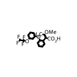 COC(C)=C(C(=O)O)c1ccccc1Oc1cccc(OC(F)(F)C(F)F)c1